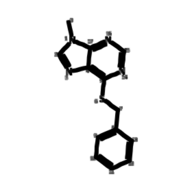 Cn1cnc2c(SCc3ccccc3)ncnc21